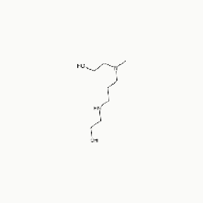 CN(CCO)CCCNCCO